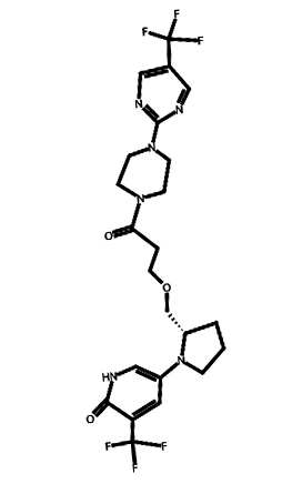 O=C(CCOC[C@@H]1CCCN1c1c[nH]c(=O)c(C(F)(F)F)c1)N1CCN(c2ncc(C(F)(F)F)cn2)CC1